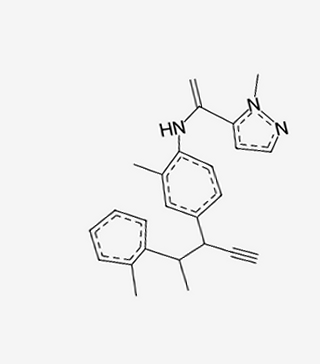 C#CC(c1ccc(NC(=C)c2ccnn2C)c(C)c1)C(C)c1ccccc1C